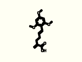 C=C(CCC=Cc1c(OC)cc(OC)cc1OC)C(=O)O